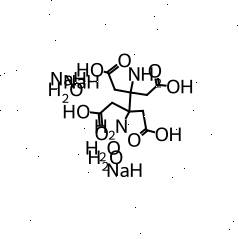 NC(CC(=O)O)(CC(=O)O)C(N)(CC(=O)O)CC(=O)O.O.O.O.[NaH].[NaH].[NaH]